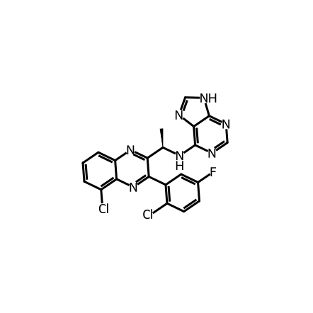 C[C@@H](Nc1ncnc2[nH]cnc12)c1nc2cccc(Cl)c2nc1-c1cc(F)ccc1Cl